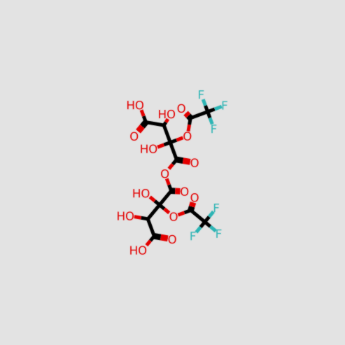 O=C(O)C(O)C(O)(OC(=O)C(F)(F)F)C(=O)OC(=O)C(O)(OC(=O)C(F)(F)F)C(O)C(=O)O